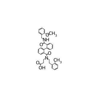 COc1ccccc1CNC(=O)c1ccccc1-c1ccccc1C(=O)N(CCC(=O)O)CCc1ccccc1C